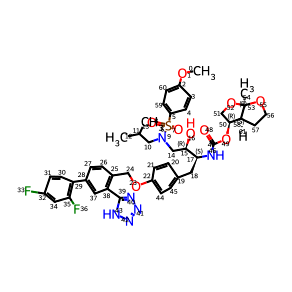 COc1ccc(S(=O)(=O)N(CC(C)C)C[C@@H](O)[C@H](Cc2ccc(OCc3ccc(-c4ccc(F)cc4F)cc3-c3nnn[nH]3)cc2)NC(=O)O[C@H]2CO[C@@]3(C)OCC[C@@H]23)cc1